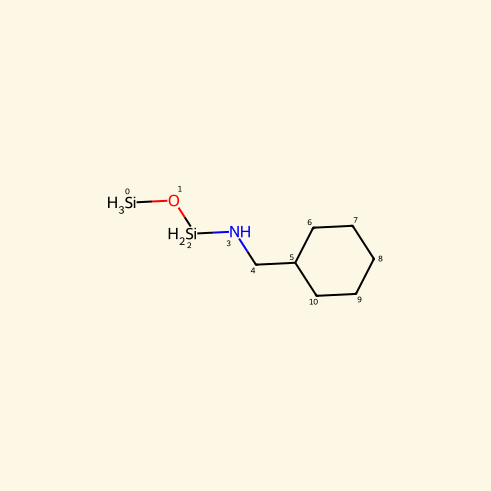 [SiH3]O[SiH2]NCC1CCCCC1